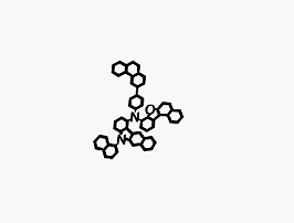 c1ccc2cc3c(cc2c1)c1c(N(c2ccc(-c4ccc5ccc6ccccc6c5c4)cc2)c2cccc4c2oc2ccc5ccccc5c24)cccc1n3-c1cccc2ccccc12